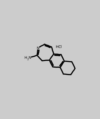 Cl.NC1=NC=Cc2cc3c(cc2C1)CCCC3